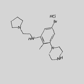 Cc1c(NCCN2CCCC2)cc(Br)cc1N1CCNCC1.Cl